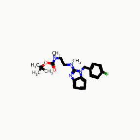 CN(CCN(C)c1nc2ccccc2n1Cc1ccc(F)cc1)C(=O)OC(C)(C)C